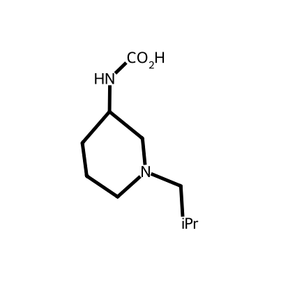 CC(C)CN1CCCC(NC(=O)O)C1